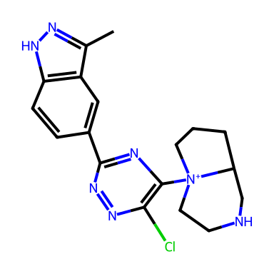 Cc1n[nH]c2ccc(-c3nnc(Cl)c([N+]45CCCC4CNCC5)n3)cc12